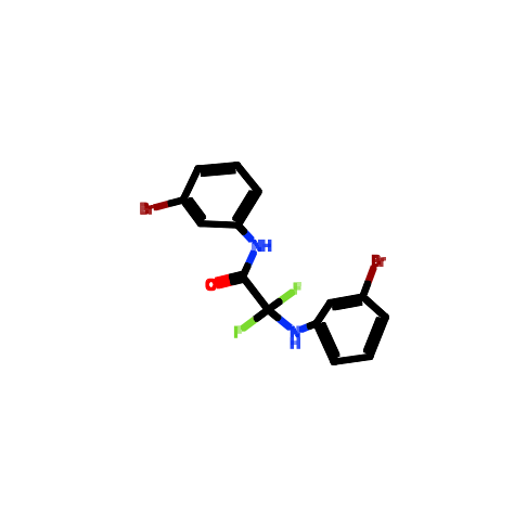 O=C(Nc1cccc(Br)c1)C(F)(F)Nc1cccc(Br)c1